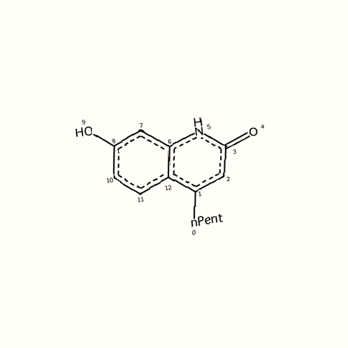 CCCCCc1cc(=O)[nH]c2cc(O)ccc12